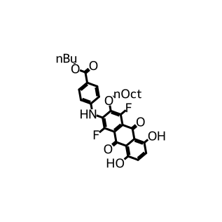 CCCCCCCCOc1c(F)c2c(c(F)c1Nc1ccc(C(=O)OCCCC)cc1)C(=O)c1c(O)ccc(O)c1C2=O